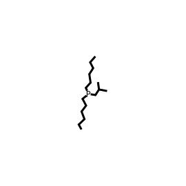 CCCCCCP(CCCCCC)CC(C)C